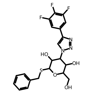 OCC1OC(SCc2ccccc2)C(O)C(n2cc(-c3cc(F)c(F)c(F)c3)nn2)C1O